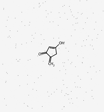 C=C1CC(O)=CC1=O